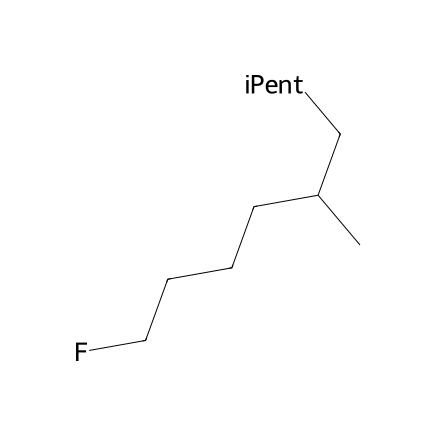 CCCC(C)CC(C)CCCCF